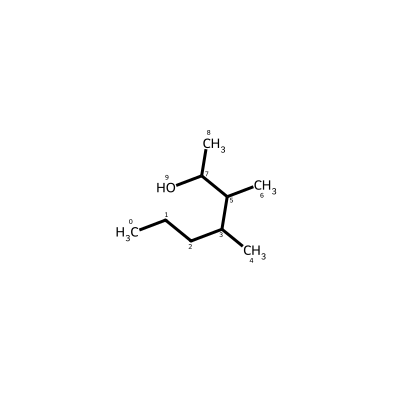 CCCC(C)C(C)C(C)O